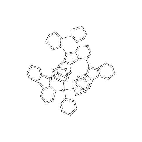 c1ccc(-c2ccccc2-n2c3cc(-n4c5ccccc5c5cccc([Si](c6ccccc6)(c6ccccc6)c6ccccc6)c54)ccc3c3c(-n4c5ccccc5c5ccccc54)cccc32)cc1